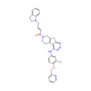 O=C(/C=C/CN1CCc2ccccc21)N1CCc2c(sc3ncnc(Nc4ccc(OCc5ccccn5)c(Cl)c4)c23)C1